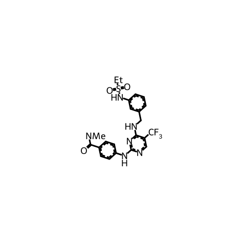 CCS(=O)(=O)Nc1cccc(CNc2nc(Nc3ccc(C(=O)NC)cc3)ncc2C(F)(F)F)c1